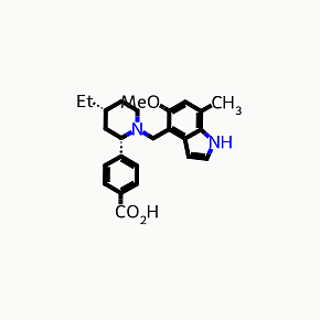 CC[C@@H]1CCN(Cc2c(OC)cc(C)c3[nH]ccc23)[C@H](c2ccc(C(=O)O)cc2)C1